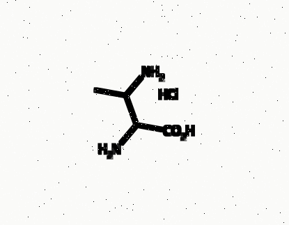 CC(N)C(N)C(=O)O.Cl